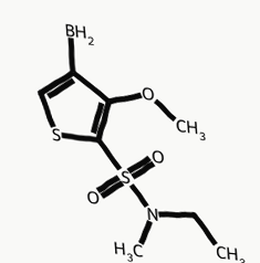 Bc1csc(S(=O)(=O)N(C)CC)c1OC